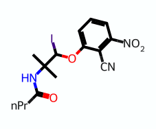 CCCC(=O)NC(C)(C)C(I)Oc1cccc([N+](=O)[O-])c1C#N